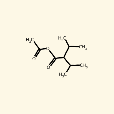 CC(=O)OC(=O)C(C(C)C)C(C)C